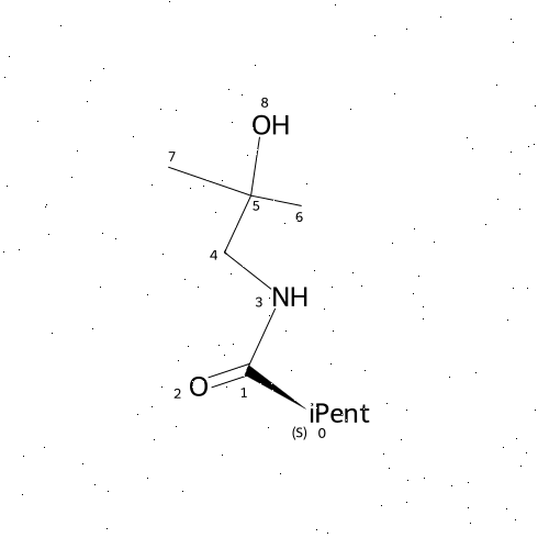 CCC[C@H](C)C(=O)NCC(C)(C)O